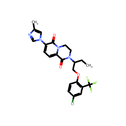 CCC(COc1ccc(Cl)cc1C(F)(F)F)N1CCn2c(ccc(-n3cnc(C)c3)c2=O)C1=O